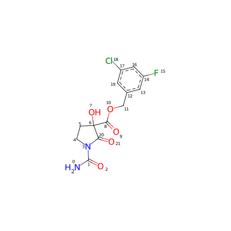 NC(=O)N1CCC(O)(C(=O)OCc2cc(F)cc(Cl)c2)C1=O